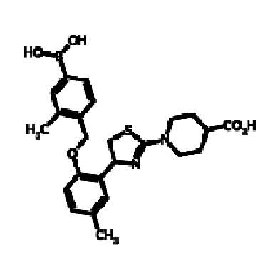 Cc1ccc(OCc2ccc(B(O)O)cc2C)c(C2CSC(N3CCC(C(=O)O)CC3)=N2)c1